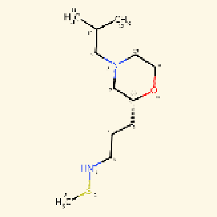 CSNCCC[C@@H]1CN(CC(C)C)CCO1